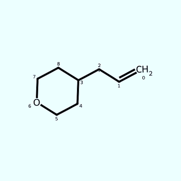 C=C[CH]C1CCOCC1